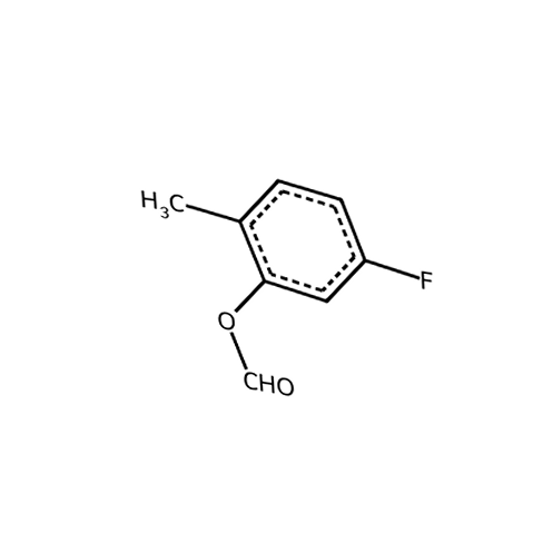 Cc1ccc(F)cc1OC=O